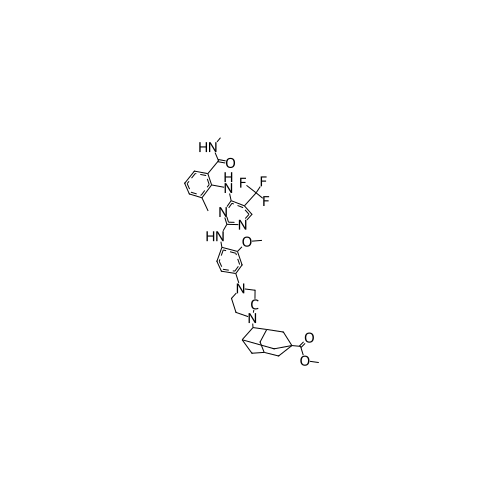 CNC(=O)c1cccc(C)c1Nc1nc(Nc2ccc(N3CCN(C4C5CC6CC4CC(C(=O)OC)(C6)C5)CC3)cc2OC)ncc1C(F)(F)F